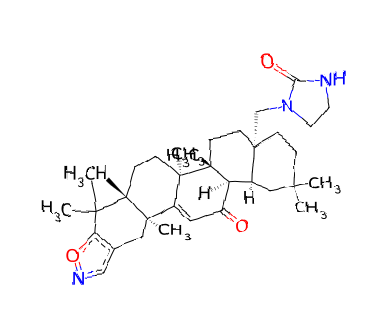 CC1(C)CC[C@]2(CN3CCNC3=O)CC[C@]3(C)[C@H](C(=O)C=C4[C@@]5(C)Cc6cnoc6C(C)(C)[C@@H]5CC[C@]43C)[C@@H]2C1